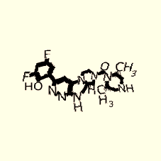 C[C@@H]1CNC[C@@H](C)N1C(=O)N1CCN2c3cc(-c4cc(F)cc(F)c4O)nnc3NC[C@H]2C1